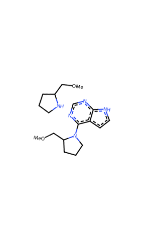 COCC1CCCN1.COCC1CCCN1c1ncnc2[nH]ccc12